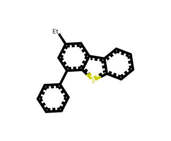 CCc1cc(-c2ccccc2)c2sc3ccccc3c2c1